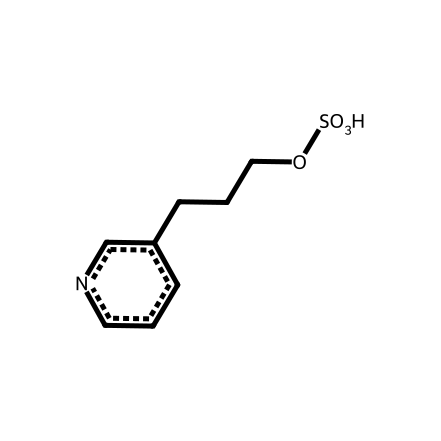 O=S(=O)(O)OCCCc1cccnc1